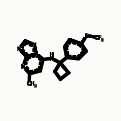 Cc1cc(NC2(c3ccc(SC(F)(F)F)cc3)CCC2)n2ncnc2n1